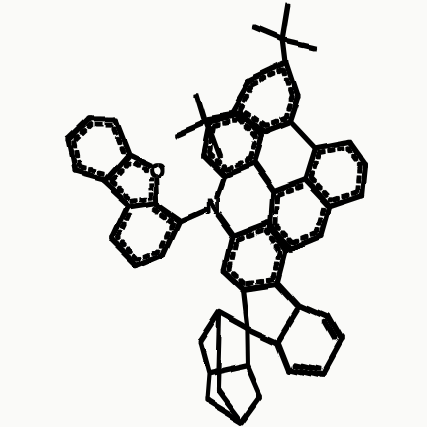 CC(C)(C)c1cc(-c2cccc3cccc(-c4ccccc4N(c4ccc5c(c4)C4(C6CC7CC(C6)C4C7)C4C=CC=CC54)c4cccc5c4oc4ccccc45)c23)cc(C(C)(C)C)c1